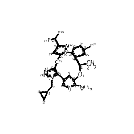 C[C@H]1Oc2cc(cnc2N)-c2c(nnn2CC2CC2)Cc2cc(C(F)F)nn2-c2ccc(F)cc21